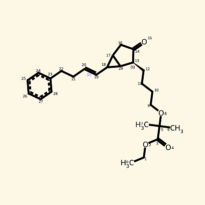 CCOC(=O)C(C)(C)OCCCC[C@@H]1C(=O)CC2C(/C=C/CCc3ccccc3)C21